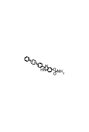 NC(=O)Oc1ccc2[nH]c(-c3ccc(N4CCN(c5ccccc5)CC4)cc3)nc2c1